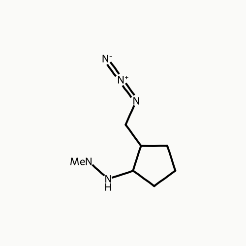 CNNC1CCCC1CN=[N+]=[N-]